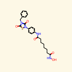 O=C(CCCCCCC(=O)Nc1ccc(-n2sc(=O)n(Cc3ccccc3)c2=O)cc1)NO